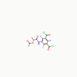 CC(=O)OC(C)C(=O)Nc1c(I)c(C(=O)Cl)c(I)c(C(=O)Cl)c1I